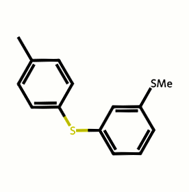 CSc1cccc(Sc2ccc(C)cc2)c1